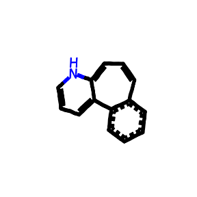 C1=CNC2=CC=Cc3ccccc3C2=C1